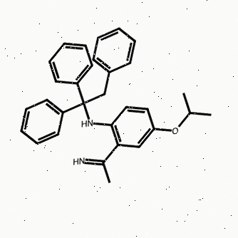 CC(=N)c1cc(OC(C)C)ccc1NC(Cc1ccccc1)(c1ccccc1)c1ccccc1